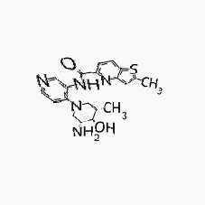 Cc1cc2nc(C(=O)Nc3cnccc3N3C[C@@H](N)[C@H](O)[C@@H](C)C3)ccc2s1